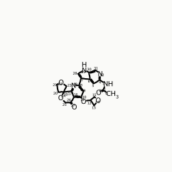 CC(=O)Nc1cc2c(-c3cc(OC4COC4)c4c(n3)C3(CCOC3)OCC4=O)c[nH]c2cn1